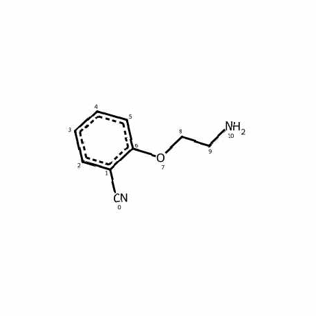 N#Cc1ccccc1OCCN